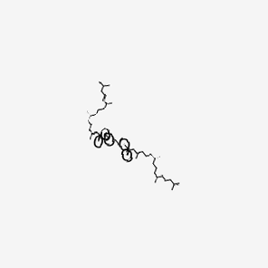 C/C(=C\C(=O)OCCOOC(=O)/C=C(\C)CCC[C@H](C)CCC[C@H](C)CCCC(C)C)CCC[C@H](C)CCC[C@H](C)CCCC(C)C